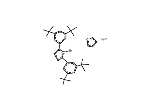 CC(C)(C)c1cc(-c2ccc(-c3cc(C(C)(C)C)cc(C(C)(C)C)c3)[c-]2Br)cc(C(C)(C)C)c1.[Fe+2].c1cc[cH-]c1